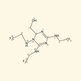 OCC1N=C(NCC(F)(F)F)N=C(NCC(F)(F)F)N1NCC(F)(F)F